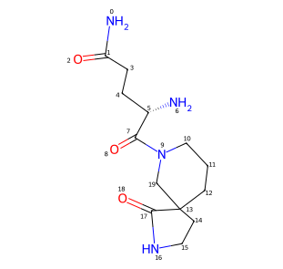 NC(=O)CC[C@H](N)C(=O)N1CCCC2(CCNC2=O)C1